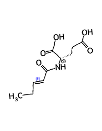 CC/C=C/C(=O)N[C@@H](CCC(=O)O)C(=O)O